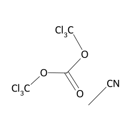 CC#N.O=C(OC(Cl)(Cl)Cl)OC(Cl)(Cl)Cl